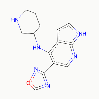 c1cc2c(NC3CCCNC3)c(-c3ncon3)cnc2[nH]1